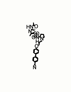 CC(=O)Nc1nc(C)c(S(=O)(=O)NC2CCCN2CCCOc2ccc(-c3ccc(C#N)cc3)cc2)s1